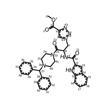 COC(=O)c1cn(CC(NC(=O)c2cc3ccccc3[nH]2)C(=O)N2CCN(C(c3ccccc3)c3ccccc3)CC2)nn1